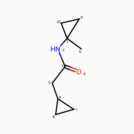 CC1(NC(=O)CC2CC2)CC1